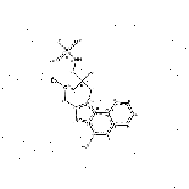 CCOCc1nc2c(N=O)nc3ccccc3c2n1CC(C)(C)CNS(C)(=O)=O